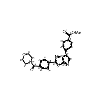 COC(=O)c1ccc(-c2cnc3sc(-c4ccc(C(=O)N5CCOCC5)cc4)nn23)cc1